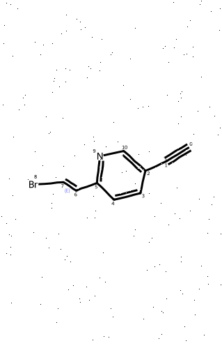 C#Cc1ccc(/C=C/Br)nc1